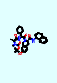 C[C@@H](C(=O)N[C@H](C(=O)N1Cc2cc(O)ccc2C[C@@H]1C(=O)N[C@H]1CCCc2ccccc21)C1CCCCC1)N(C)C(=O)OC(C)(C)C